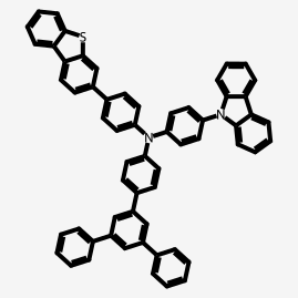 c1ccc(-c2cc(-c3ccccc3)cc(-c3ccc(N(c4ccc(-c5ccc6c(c5)sc5ccccc56)cc4)c4ccc(-n5c6ccccc6c6ccccc65)cc4)cc3)c2)cc1